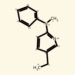 CCc1ccc(N(C)c2ccccc2)nc1